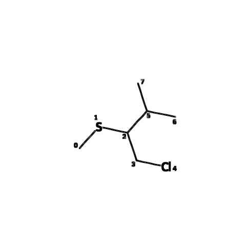 CSC(CCl)C(C)C